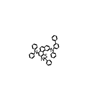 c1ccc(-c2cccc(N(c3ccccc3)c3ccc4ccc5c(N(c6ccccc6)c6ccccc6)cc6nc(-c7ccccc7)sc6c5c4c3)c2)cc1